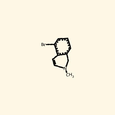 CN1C=Cc2c(Br)cccc2C1